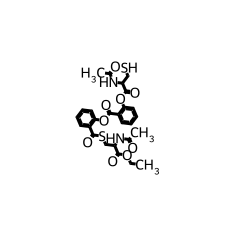 CCOC(=O)C(CSC(=O)c1ccccc1OC(=O)c1ccccc1OC(=O)C(CS)NC(C)=O)NC(C)=O